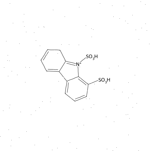 O=S(=O)(O)c1cccc2c1[N+](S(=O)(=O)O)=C1CC=CC=C12